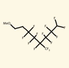 COCCC(F)(F)C(F)(F)C(F)(C(F)(F)F)C(F)(F)C(F)(F)C(F)F